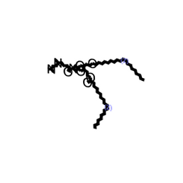 CCCCCCCC/C=C\CCCCCCCCCOCCC1OC2(CN(C(=O)CCCN(C)CCN(C)C)C2)OC1CCOC(=O)CCCCCCCC/C=C\CCCCCCCC